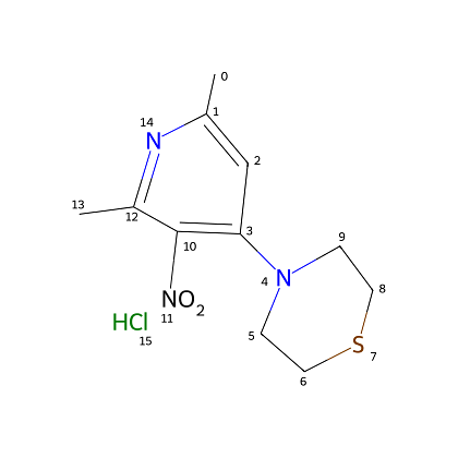 Cc1cc(N2CCSCC2)c([N+](=O)[O-])c(C)n1.Cl